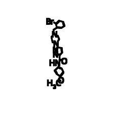 COc1ccc(NC(=O)c2ccc(N3CCN(Cc4ccccc4Br)CC3)nn2)cc1